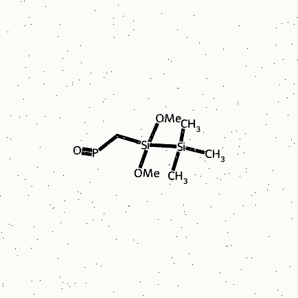 CO[Si](CP=O)(OC)[Si](C)(C)C